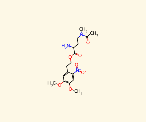 COc1cc(CCOC(=O)C(N)CCN(C)C(C)=O)c([N+](=O)[O-])cc1OC